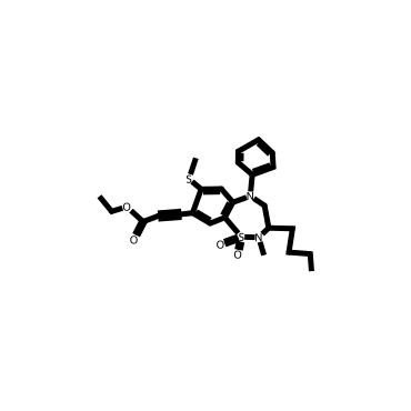 CCCCC1CN(c2ccccc2)c2cc(SC)c(C#CC(=O)OCC)cc2S(=O)(=O)N1C